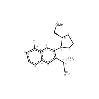 COC[C@H]1CCCN1c1nc2c(Cl)cccc2cc1[C@H](C)N